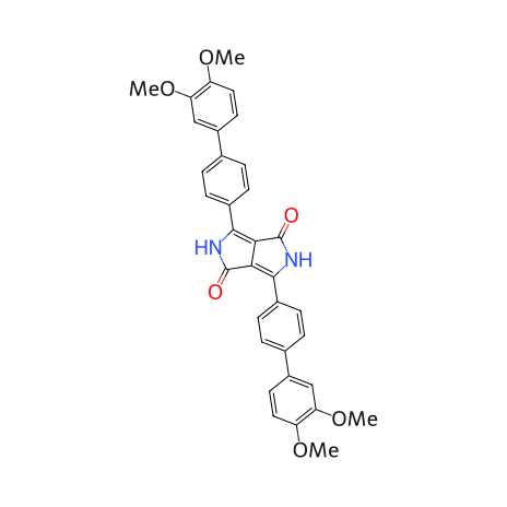 COc1ccc(-c2ccc(C3=C4C(=O)NC(c5ccc(-c6ccc(OC)c(OC)c6)cc5)=C4C(=O)N3)cc2)cc1OC